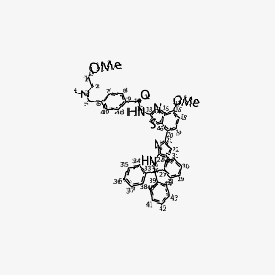 COCCN(C)Cc1ccc(C(=O)Nc2nc3c(OC)ccc(-c4csc(NC(c5ccccc5)(c5ccccc5)c5ccccc5)n4)c3s2)cc1